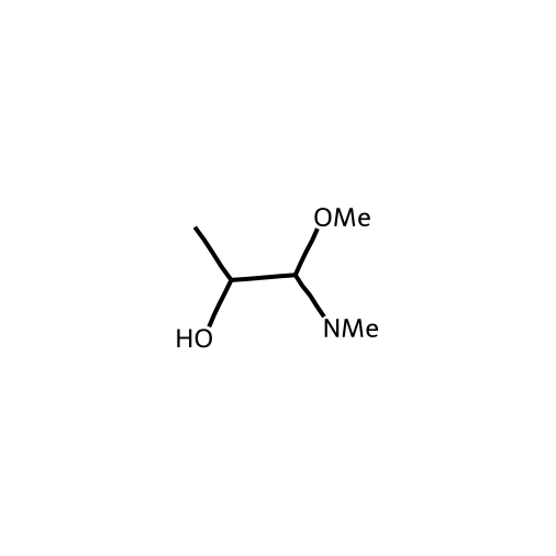 CNC(OC)C(C)O